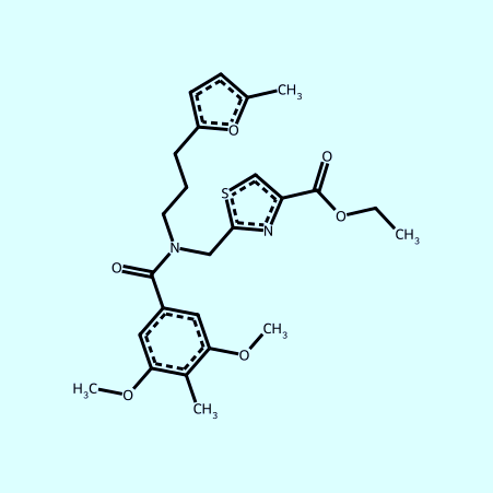 CCOC(=O)c1csc(CN(CCCc2ccc(C)o2)C(=O)c2cc(OC)c(C)c(OC)c2)n1